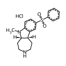 CN1c2ccc(S(=O)(=O)c3ccccc3)cc2[C@@H]2CCNCC[C@@H]21.Cl